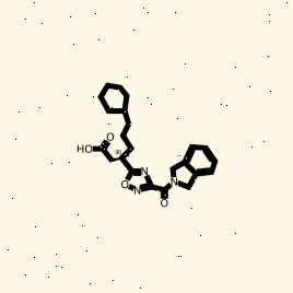 O=C(O)C[C@@H](CCCC1CCCCC1)c1nc(C(=O)N2Cc3ccccc3C2)no1